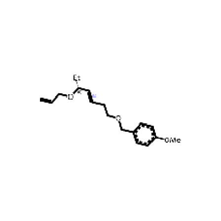 C=CCO[C@@H](/C=C/CCOCc1ccc(OC)cc1)CC